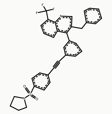 O=S(=O)(c1ccc(C#Cc2cccc(-c3c(Cc4ccccc4)cnc4c(C(F)(F)F)cccc34)c2)cc1)N1CCCC1